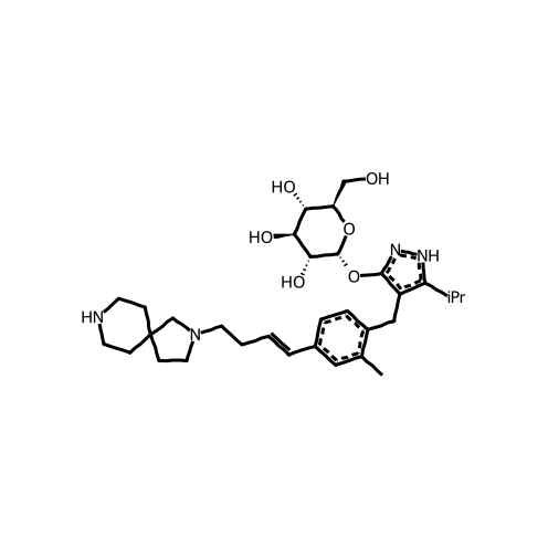 Cc1cc(/C=C/CCN2CCC3(CCNCC3)C2)ccc1Cc1c(O[C@H]2O[C@H](CO)[C@@H](O)[C@H](O)[C@H]2O)n[nH]c1C(C)C